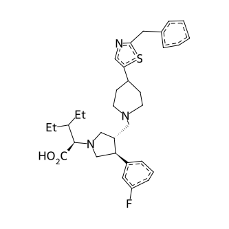 CCC(CC)[C@H](C(=O)O)N1C[C@H](CN2CCC(c3cnc(Cc4ccccc4)s3)CC2)[C@@H](c2cccc(F)c2)C1